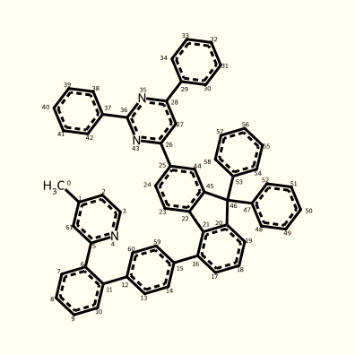 Cc1ccnc(-c2ccccc2-c2ccc(-c3cccc4c3-c3ccc(-c5cc(-c6ccccc6)nc(-c6ccccc6)n5)cc3C4(c3ccccc3)c3ccccc3)cc2)c1